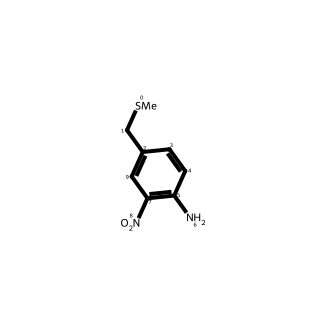 CSCc1ccc(N)c([N+](=O)[O-])c1